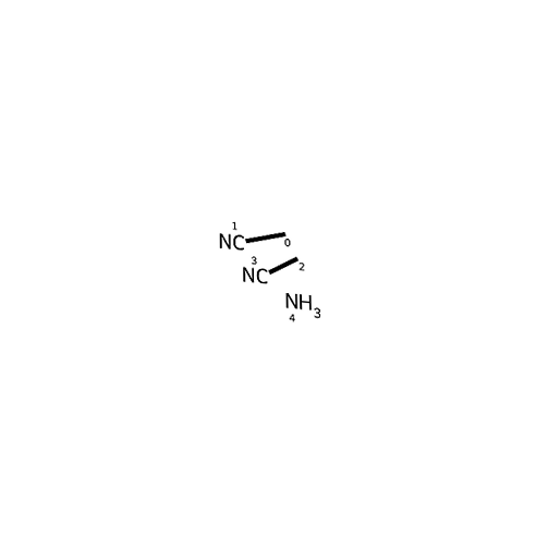 CC#N.CC#N.N